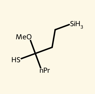 CCCC(S)(CC[SiH3])OC